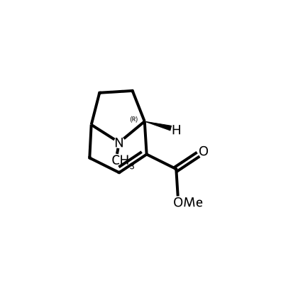 COC(=O)C1=CCC2CC[C@H]1N2C